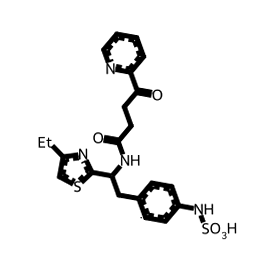 CCc1csc(C(Cc2[c]cc(NS(=O)(=O)O)cc2)NC(=O)CCC(=O)c2ccccn2)n1